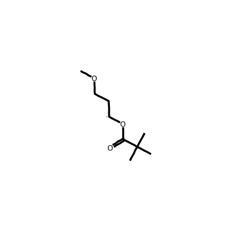 COCC[CH]OC(=O)C(C)(C)C